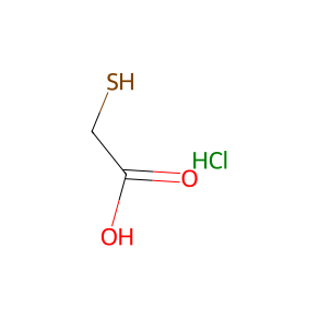 Cl.O=C(O)CS